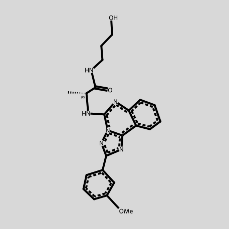 COc1cccc(-c2nc3c4ccccc4nc(N[C@H](C)C(=O)NCCCO)n3n2)c1